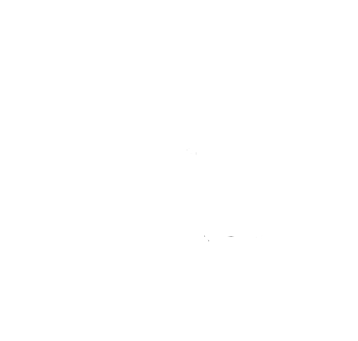 CCC[CH2][Sn]([CH2]CCC)([CH2]CCC)[c]1cccc(C(=O)N(C)C)c1